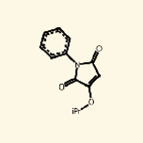 CC(C)OC1=CC(=O)N(c2ccccc2)C1=O